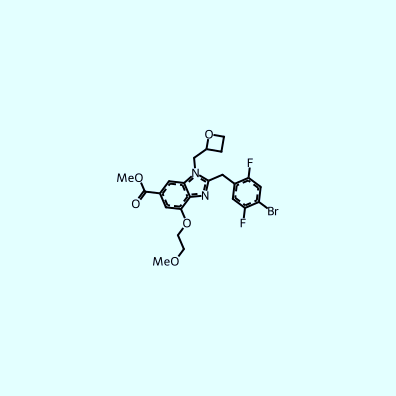 COCCOc1cc(C(=O)OC)cc2c1nc(Cc1cc(F)c(Br)cc1F)n2CC1CCO1